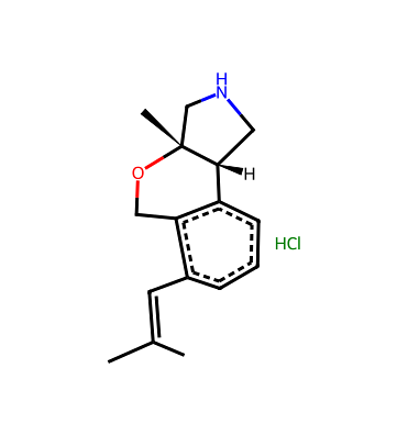 CC(C)=Cc1cccc2c1CO[C@]1(C)CNC[C@H]21.Cl